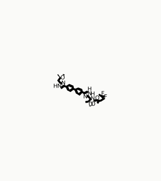 COC(C)C(NC(=O)C1(C)CCC(F)(F)CO1)c1nc(-c2ccc(-c3ccc(-c4c[nH]c(C[C@@H](C)OC)n4)cc3)cc2)c[nH]1